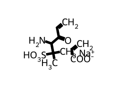 C=CC(=O)C(N)C(C)(C)S(=O)(=O)O.C=CC(=O)[O-].[Na+]